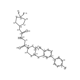 Nc1ccc(-c2ccc(F)cc2)cc1CN1CCN(C(=O)CNC(=O)CC2CCC(F)(F)CC2)CC1